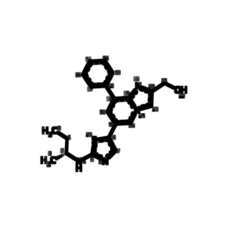 CC[C@@H](C)Nc1ncc(-c2cc(-c3ccccc3)c3nc(CO)cn3c2)s1